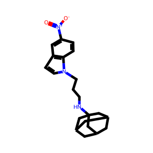 O=[N+]([O-])c1ccc2c(ccn2CCCNC23CC4CC(CC(C4)C2)C3)c1